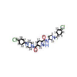 O=C(N[C@H]1CCN(Cc2ccc(Cl)cc2)C1)c1ccc(C(=O)N2CCN(c3ccc(Cl)cc3)CC2)cn1